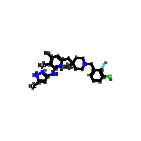 CCc1cc(CC2(C(=O)O)CCN(Cc3cccc(Cl)c3F)CC2)nc(Nc2cc(C)[nH]n2)c1C